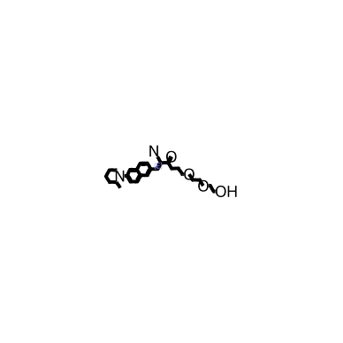 CC1CCCCN1c1ccc2cc(/C=C(\C#N)C(=O)CCCOCCOCCO)ccc2c1